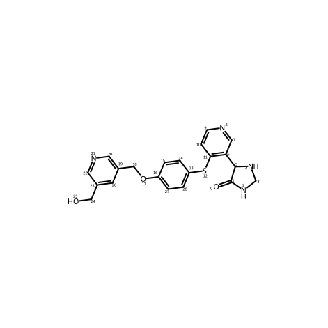 O=C1NCNC1c1cnccc1Sc1ccc(OCc2cncc(CO)c2)cc1